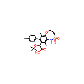 Cc1ccc(-c2c(C)c3c(c(C)c2[C@H](OC(C)(C)C)C(=O)O)NS(=O)(=O)/C=C\CO3)cc1